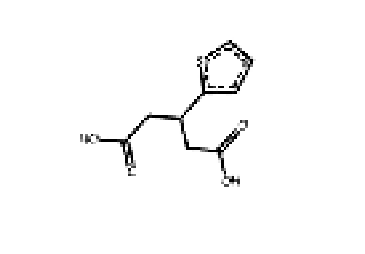 O=C(O)CC(CC(=O)O)c1cccs1